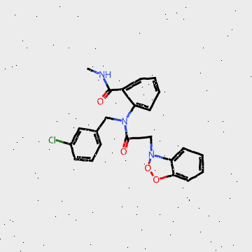 CNC(=O)c1ccccc1N(Cc1cccc(Cl)c1)C(=O)CN1OOc2ccccc21